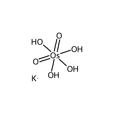 [K].[O]=[Os](=[O])([OH])([OH])([OH])[OH]